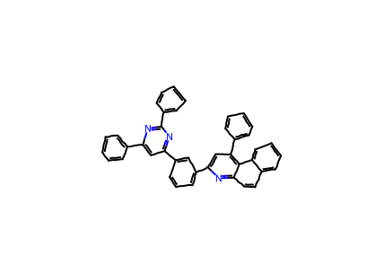 c1ccc(-c2cc(-c3cccc(-c4cc(-c5ccccc5)c5c(ccc6ccccc65)n4)c3)nc(-c3ccccc3)n2)cc1